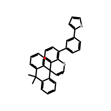 CC1(C)c2ccccc2C2(c3ccccc3Sc3c(-c4cccc(-c5cccs5)c4)cccc32)c2ccccc21